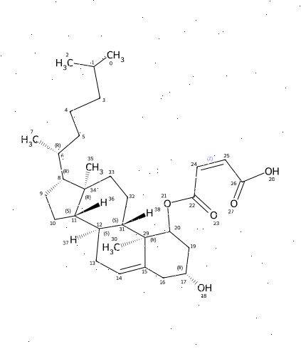 CC(C)CCC[C@@H](C)[C@H]1CC[C@H]2[C@@H]3CC=C4C[C@@H](O)CC(OC(=O)/C=C\C(=O)O)[C@]4(C)[C@H]3CC[C@]12C